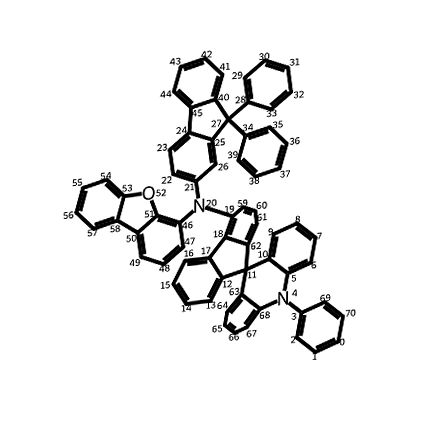 c1ccc(N2c3ccccc3C3(c4ccccc4-c4c(N(c5ccc6c(c5)C(c5ccccc5)(c5ccccc5)c5ccccc5-6)c5cccc6c5oc5ccccc56)cccc43)c3ccccc32)cc1